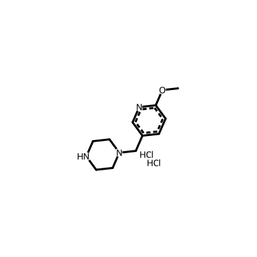 COc1ccc(CN2CCNCC2)cn1.Cl.Cl